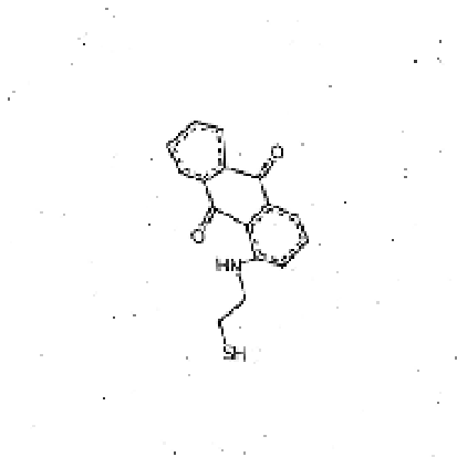 O=C1c2ccccc2C(=O)c2c(NCCS)cccc21